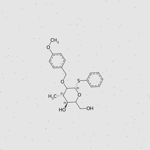 COc1ccc(COC2[C@@H](C)[C@H](O)C(CO)O[C@H]2Sc2ccccc2)cc1